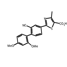 COc1ccc(-c2ccc(-c3nc(C)c(C(=O)O)s3)cc2C#N)c(OC)c1